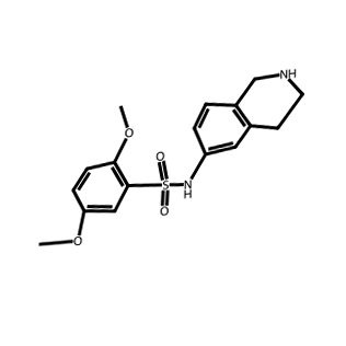 COc1ccc(OC)c(S(=O)(=O)Nc2ccc3c(c2)CCNC3)c1